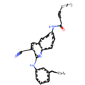 CC#CC(=O)Nc1ccc2nc(Nc3cccc(C)c3)c(C#N)cc2c1